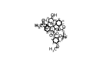 COc1ccc(S(=O)(=O)N2C(=O)C(c3cccc4c3OCO4)(N3C[C@H](O)C[C@H]3C(=O)N(C)C)c3cc(C)ccc32)c(OC(F)(F)F)c1